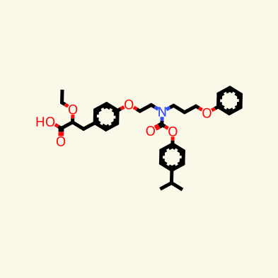 CCOC(Cc1ccc(OCCN(CCCOc2ccccc2)C(=O)Oc2ccc(C(C)C)cc2)cc1)C(=O)O